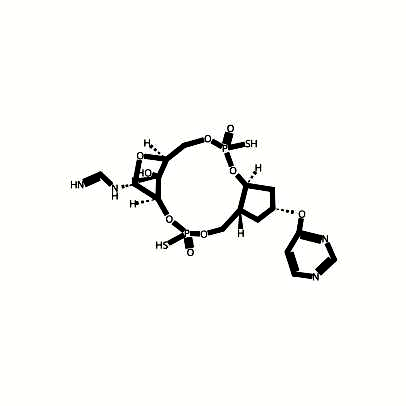 N=CN[C@@H]1O[C@H]2COP(=O)(S)O[C@H]3C[C@H](Oc4ccncn4)C[C@@H]3COP(=O)(S)O[C@@H]1[C@@H]2O